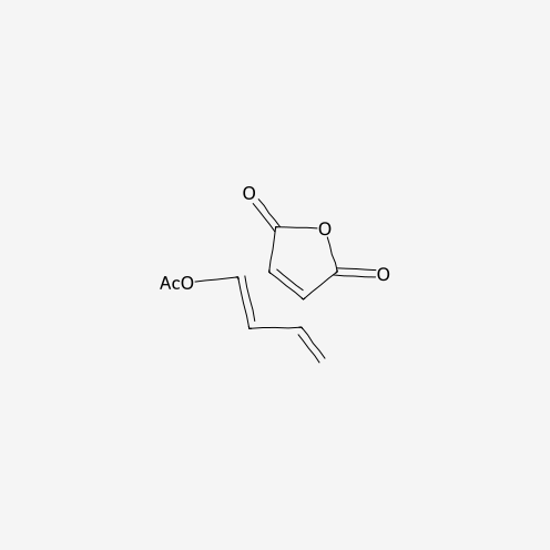 C=CC=COC(C)=O.O=C1C=CC(=O)O1